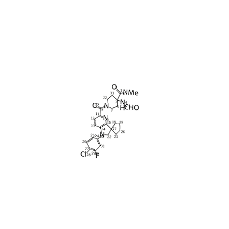 CNC(=O)C1(NC=O)CCN(C(=O)c2ccc3c(n2)C2(CCCC2)CN3c2ccc(Cl)c(F)c2)CC1